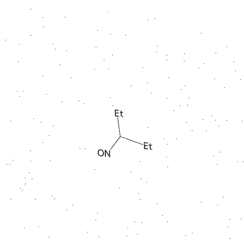 CCC(CC)N=O